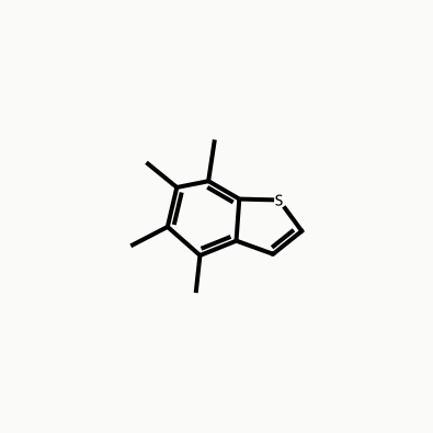 Cc1c(C)c(C)c2sccc2c1C